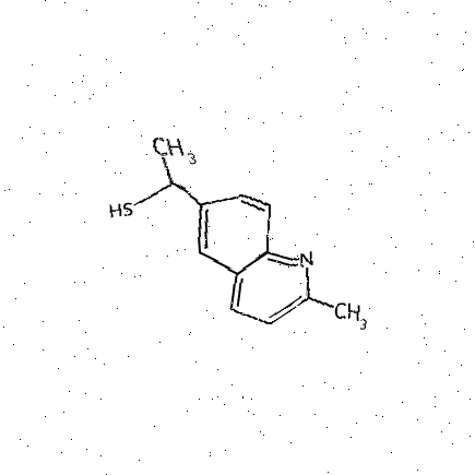 Cc1ccc2cc(C(C)S)ccc2n1